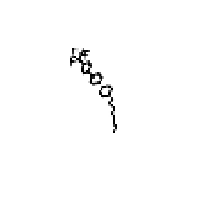 CCCCCCCC[C@H]1CC[C@H](c2ccc(-c3ccc(C(F)C(C)(F)F)cc3)cc2)CC1